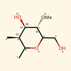 CO[C@@H]1C(CO)OC(C)[C@@H](C)[C@H]1O